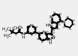 CC(C)(C)CC(=O)Nc1cncc(-c2ccc3[nH]nc(-c4cc5c(N6CCCCC6)ccnc5[nH]4)c3n2)c1